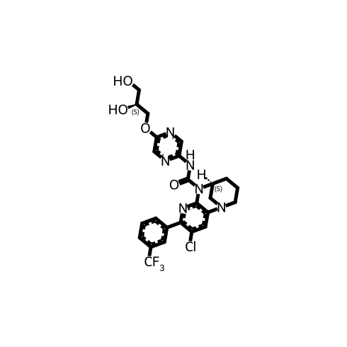 O=C(Nc1cnc(OC[C@@H](O)CO)cn1)N1c2nc(-c3cccc(C(F)(F)F)c3)c(Cl)cc2N2CCC[C@H]1C2